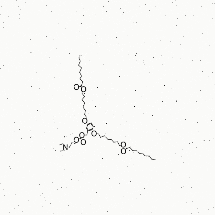 CCCCCCCCCC(=O)OCCCCCCCCOc1ccc(OCCCCCCCCOC(=O)CCCCCCCCC)c(COC(=O)OCCCN(CC)CC)c1